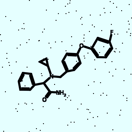 NC(=O)C(c1ccccc1)N(Cc1ccc(Oc2cccc(F)c2)cc1)C1CC1